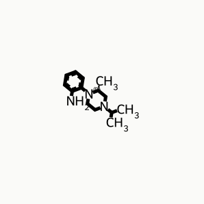 CC(C)N1CCN(c2ccccc2N)[C@H](C)C1